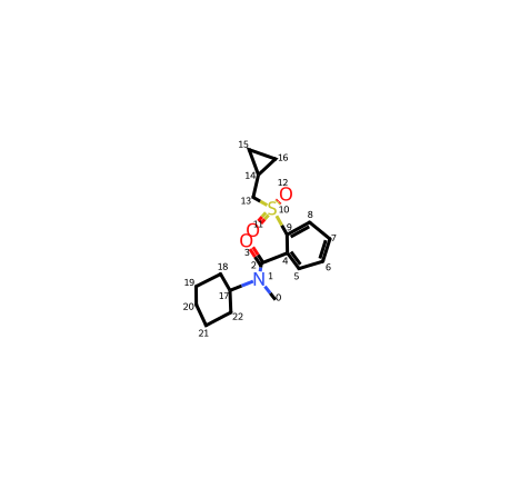 CN(C(=O)c1ccccc1S(=O)(=O)CC1CC1)C1CCCCC1